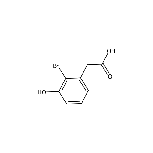 O=C(O)Cc1cccc(O)c1Br